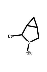 CCC1C2CC2CN1C(C)(C)C